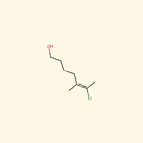 CC(Cl)=C(C)CCCCO